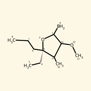 BC1O[C@](CC)(CCC)C(C)C1OC